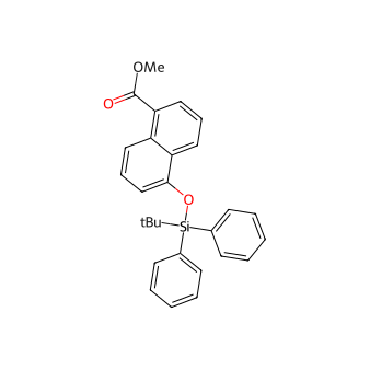 COC(=O)c1cccc2c(O[Si](c3ccccc3)(c3ccccc3)C(C)(C)C)cccc12